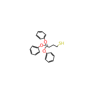 SCCC[Si](Oc1ccccc1)(Oc1ccccc1)Oc1ccccc1